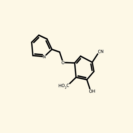 N#Cc1cc(O)c(C(=O)O)c(OCc2ccccn2)c1